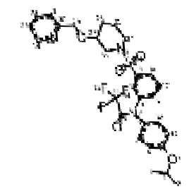 CC(C)Oc1ccc(N(C(=O)C(F)(F)F)c2cccc(S(=O)(=O)N3CCCC(OCc4ccccn4)C3)c2)cc1